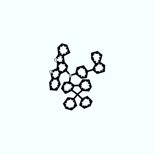 c1ccc(C2(c3ccccc3)c3ccccc3-c3c(N(c4ccc(-c5cccc6ccccc56)cc4)c4cc5c6ccccc6oc5c5oc6ccccc6c45)cccc32)cc1